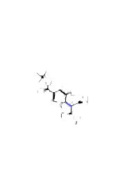 COC(=O)/C(C#N)=C1\NC=C(C(=O)OC(C)(C)C)C=C1Cl